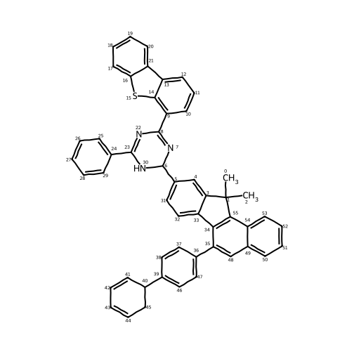 CC1(C)c2cc(C3N=C(c4cccc5c4sc4ccccc45)N=C(c4ccccc4)N3)ccc2-c2c(-c3ccc(C4C=CC=CC4)cc3)cc3ccccc3c21